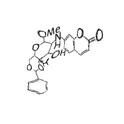 COC1OC2COC(c3ccccc3)O[C@H]2C(O)C1Nc1ccc2ccc(=O)oc2c1